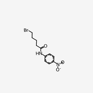 O=C(CCCCBr)Nc1ccc([N+](=O)[O-])cc1